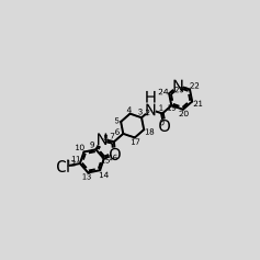 O=C(NC1CCC(c2nc3cc(Cl)ccc3o2)CC1)c1cccnc1